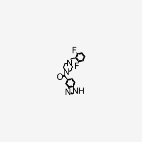 O=C(c1ccc2[nH]cnc2c1)N1CCN(Cc2c(F)cccc2F)CC1